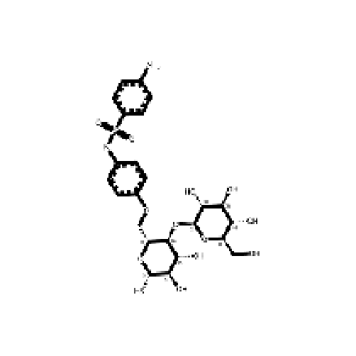 Nc1ccc(S(=O)(=O)Nc2ccc(OC[C@H]3O[C@@H](S)[C@H](O)[C@@H](O)[C@@H]3O[C@@H]3O[C@H](CO)[C@@H](O)[C@H](O)[C@H]3O)cc2)cc1